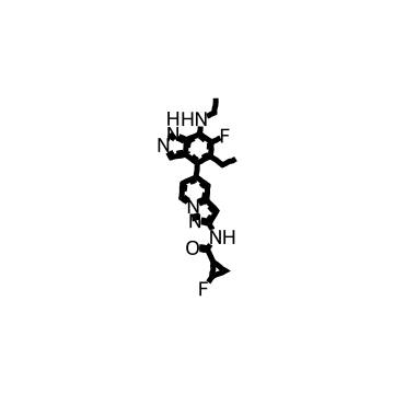 CCNc1c(F)c(CC)c(-c2ccn3nc(NC(=O)C4CC4F)cc3c2)c2cn[nH]c12